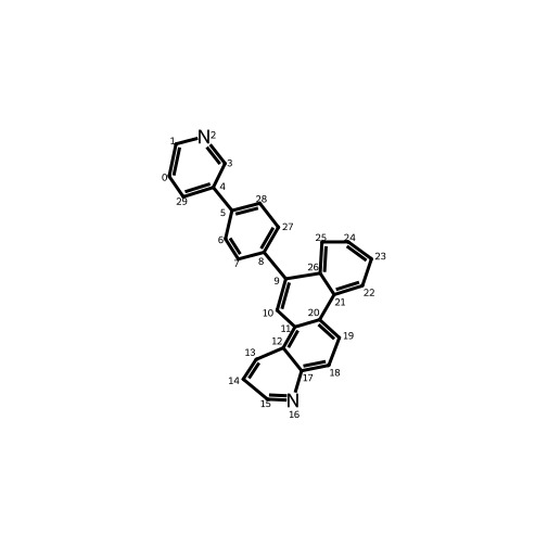 c1cncc(-c2ccc(-c3cc4c5cccnc5ccc4c4ccccc34)cc2)c1